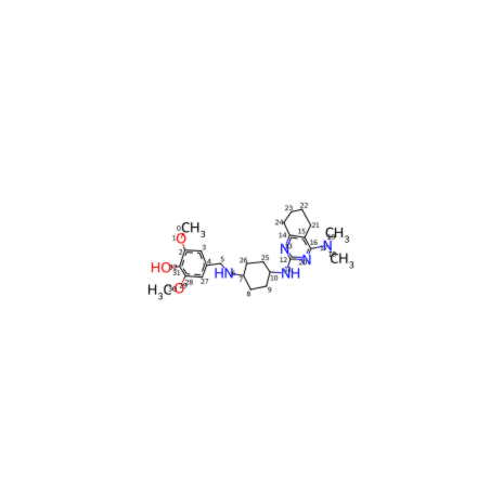 COc1cc(CNC2CCC(Nc3nc4c(c(N(C)C)n3)CCCC4)CC2)cc(OC)c1O